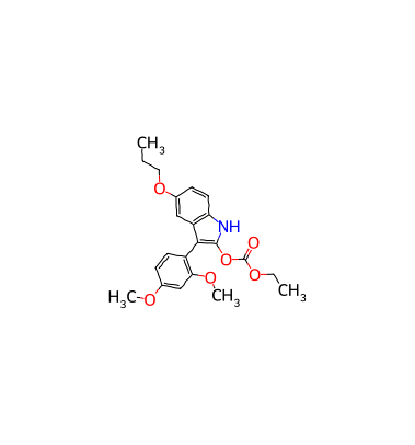 CCCOc1ccc2[nH]c(OC(=O)OCC)c(-c3ccc(OC)cc3OC)c2c1